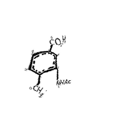 [CH2]c1ccc(C(=O)O)cc1NC(C)=O